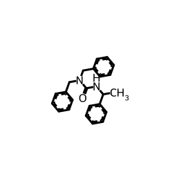 CC(NC(=O)N(Cc1ccccc1)Cc1ccccc1)c1ccccc1